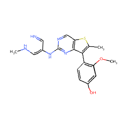 CN/C=C(\C=N)Nc1ncc2sc(C)c(-c3ccc(O)cc3OC)c2n1